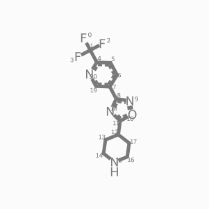 FC(F)(F)c1ccc(-c2noc(C3CCNCC3)n2)cn1